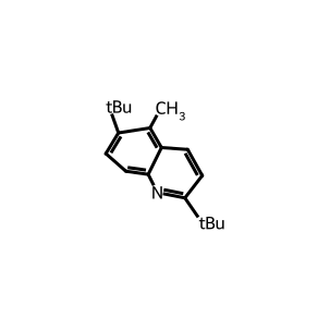 Cc1c(C(C)(C)C)ccc2nc(C(C)(C)C)ccc12